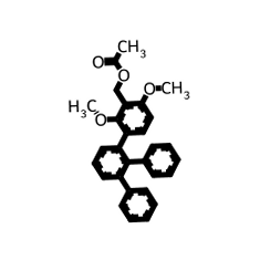 COc1ccc(-c2cccc(-c3ccccc3)c2-c2ccccc2)c(OC)c1COC(C)=O